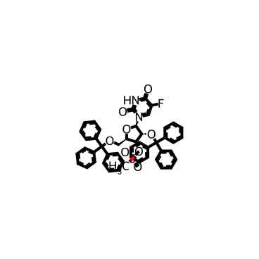 CS(=O)(=O)O[C@H]1[C@@H](OC(c2ccccc2)(c2ccccc2)c2ccccc2)[C@H](n2cc(F)c(=O)[nH]c2=O)O[C@@H]1COC(c1ccccc1)(c1ccccc1)c1ccccc1